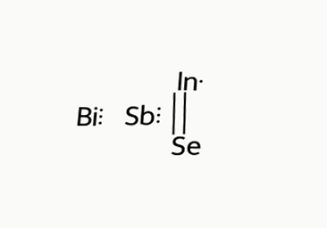 [Bi].[Sb].[Se]=[In]